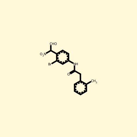 Cc1ccccc1CC(=O)Nc1ccc(C(C=O)[N+](=O)[O-])c(Br)c1